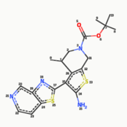 CC1CN(C(=O)OC(C)(C)C)Cc2sc(N)c(-c3nc4cnccc4s3)c21